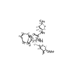 COc1ccc(C[C@@H](NC(=O)NC2CCC(O)CC2)c2nc3ccccc3[nH]2)cc1F